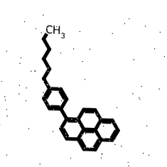 CCCCCCc1ccc(-c2ccc3ccc4cccc5ccc2c3c45)cc1